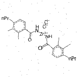 CCCc1ccc(C(=O)[NH][Zr+2][NH]C(=O)c2ccc(CCC)c(C)c2C)c(C)c1C.[Cl-].[Cl-]